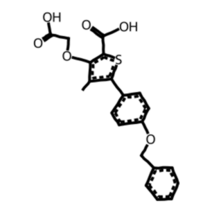 Cc1c(-c2ccc(OCc3ccccc3)cc2)sc(C(=O)O)c1OCC(=O)O